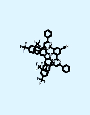 N#Cc1cc(-c2nc(-c3ccccc3)cc(-c3ccccc3)n2)c(-n2c3ccc(-c4ccc(C(F)(F)F)cc4C(F)(F)F)cc3c3cc(-c4ccc(C(F)(F)F)cc4C(F)(F)F)ccc32)c(-c2nc(-c3ccccc3)cc(-c3ccccc3)n2)c1